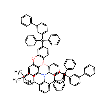 CC(C)(C)c1cc2c3c(c1)N(c1c(-c4ccccc4)cccc1-c1ccccc1)c1cc([Si](c4ccccc4)(c4ccccc4)c4cccc(-c5ccccc5)c4)ccc1B3c1ccc([Si](c3ccccc3)(c3ccccc3)c3cccc(-c4ccccc4)c3)cc1O2